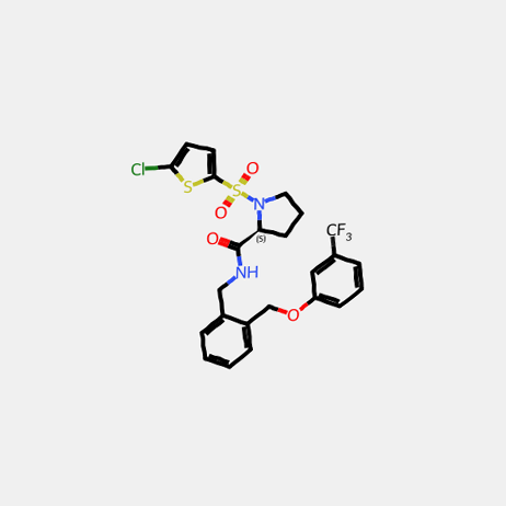 O=C(NCc1ccccc1COc1cccc(C(F)(F)F)c1)[C@@H]1CCCN1S(=O)(=O)c1ccc(Cl)s1